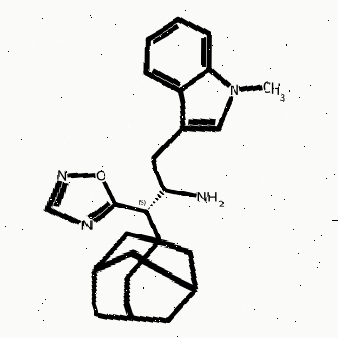 Cn1cc(CC(N)[C@@H](c2ncno2)C23CC4CC(CC(C4)C2)C3)c2ccccc21